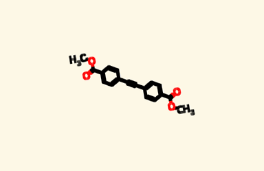 COC(=O)c1ccc(C#Cc2ccc(C(=O)OC)cc2)cc1